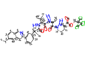 CCc1ccc2cnc(-c3cccc(C(C)(C)C(=O)N[C@H](C(=O)N[C@@H](C)C(=O)N4CCC[C@@H](C(=O)OCC(Cl)(Cl)Cl)N4)C(C)C)c3)cc2c1